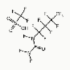 O=C(N(F)F)N(F)C(F)(F)C(F)(F)C(F)(F)C(F)(F)F.O=S(=O)(O)C(F)(F)F